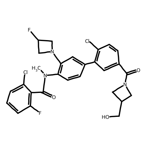 CN(C(=O)c1c(F)cccc1Cl)c1ccc(-c2cc(C(=O)N3CC(CO)C3)ccc2Cl)cc1N1CC(F)C1